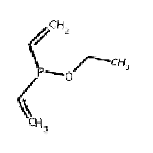 C=CP(C=C)OCC